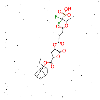 CCC1(OC(=O)C2CC(OC(=O)CCC(=O)OC(C)C(F)(F)S(=O)(=O)O)C(=O)O2)C2CC3CC(C2)CC1C3